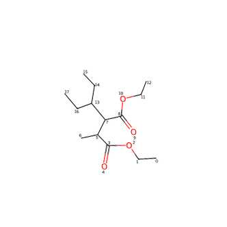 CCOC(=O)C(C)C(C(=O)OCC)C(CC)CC